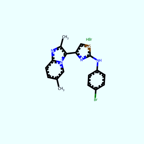 Br.Cc1ccc2nc(C)c(-c3csc(Nc4ccc(Br)cc4)n3)n2c1